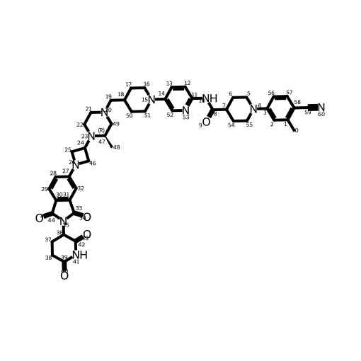 Cc1cc(N2CCC(C(=O)Nc3ccc(N4CCC(CN5CCN(C6CN(c7ccc8c(c7)C(=O)N(C7CCC(=O)NC7=O)C8=O)C6)[C@H](C)C5)CC4)cn3)CC2)ccc1C#N